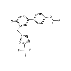 O=c1ccc(-c2ccc(OC(F)F)cc2)nn1Cc1nnc(C(F)(F)F)o1